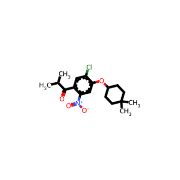 CC(C)C(=O)c1cc(Cl)c(OC2CCC(C)(C)CC2)cc1[N+](=O)[O-]